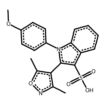 COc1ccc(-n2c(-c3c(C)noc3C)c(S(=O)(=O)O)c3ccccc32)cc1